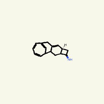 N=C1C[C@@H]2C=C3CC4=CC(C=CC=C4)C3CC12